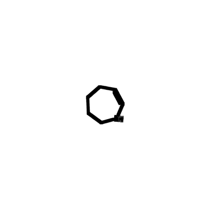 B1C=CCCCC1